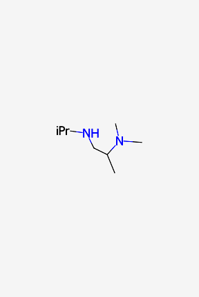 CC(C)NCC(C)N(C)C